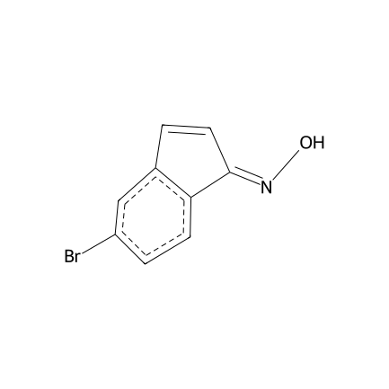 ON=C1C=Cc2cc(Br)ccc21